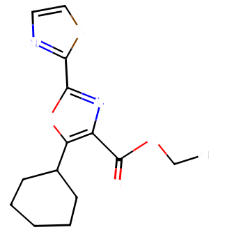 CCOC(=O)c1nc(-c2nccs2)oc1C1CCCCC1